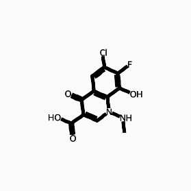 CNn1cc(C(=O)O)c(=O)c2cc(Cl)c(F)c(O)c21